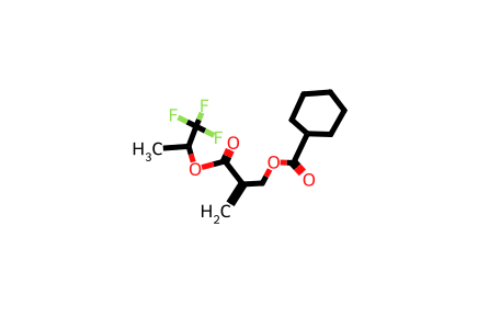 C=C(COC(=O)C1CCCCC1)C(=O)OC(C)C(F)(F)F